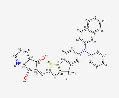 CC1(C)c2cc(N(c3ccccc3)c3ccc4ccccc4c3)ccc2-c2sc(/C=C3\C(=O)c4cccnc4C3=O)cc21